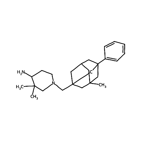 CC12CC3CC(CN4CCC(N)C(C)(C)C4)(C1)CC(c1ccccc1)(C3)C2